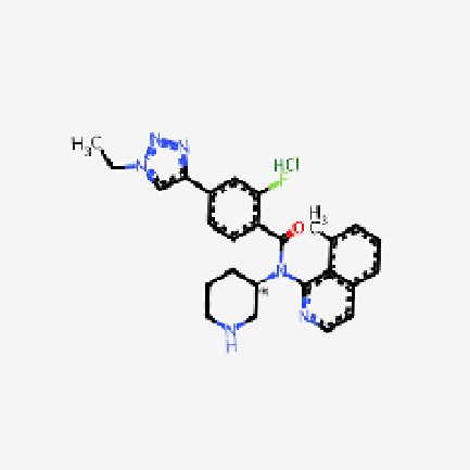 CCn1cc(-c2ccc(C(=O)N(c3nccc4cccc(C)c34)[C@@H]3CCCNC3)c(F)c2)nn1.Cl